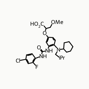 COCC(Oc1ccc(N(CC(C)C)C2CCCCC2)c(NC(=O)Nc2ccc(Cl)cc2F)c1)C(=O)O